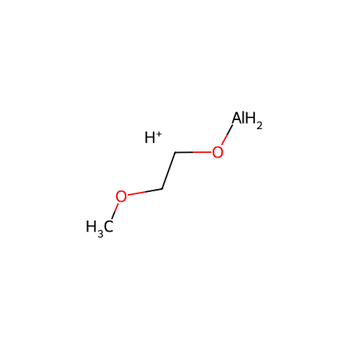 COCC[O][AlH2].[H+]